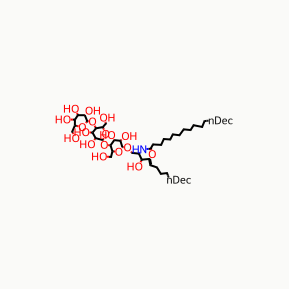 CCCCCCCCCCCCC/C=C/C(O)C(COC1OC(CO)C(OC2OC(CO)C(OC3OC(CO)C(O)C(O)C3O)C(O)C2O)C(O)C1O)NC(=O)CCCCCCCCCCCCCCCCCCCCC